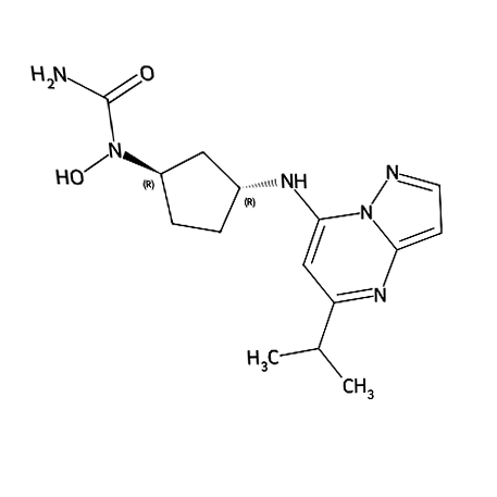 CC(C)c1cc(N[C@@H]2CC[C@@H](N(O)C(N)=O)C2)n2nccc2n1